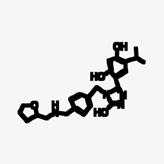 CC(C)c1cc(-c2nnc(O)n2Cc2ccc(CNCC3CCCO3)cc2)c(O)cc1O